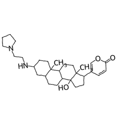 CC12CCC(NCCN3CCCC3)CC1CCC1C2CCC2(C)C(c3ccc(=O)oc3)CCC12O